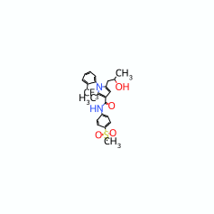 Cc1c(C(=O)Nc2ccc(S(C)(=O)=O)cc2)cc(CC(C)O)n1-c1ccccc1C(F)(F)F